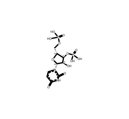 O=c1ccn([C@@H]2O[C@H](COP(=O)(O)O)[C@@H](OP(=O)(O)O)[C@H]2O)c(=O)[nH]1